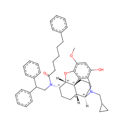 COc1cc(O)c2c3c1O[C@H]1[C@@H](N(CC(c4ccccc4)c4ccccc4)C(=O)CCCCCc4ccccc4)CC[C@H]4[C@@H](C2)N(CC2CC2)CC[C@@]341